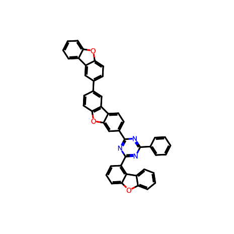 c1ccc(-c2nc(-c3ccc4c(c3)oc3ccc(-c5ccc6oc7ccccc7c6c5)cc34)nc(-c3cccc4oc5ccccc5c34)n2)cc1